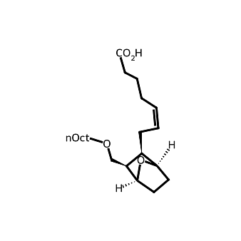 CCCCCCCCOC[C@H]1[C@@H](C/C=C\CCCC(=O)O)[C@H]2CC[C@@H]1O2